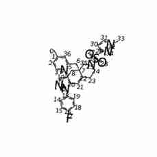 Cc1ccnc(C[C@]23Cc4cnn(-c5ccc(F)cc5)c4C=C2CCN(S(=O)(=O)c2ccn(C)n2)C3)c1